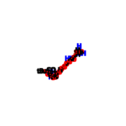 CC(C)(C)CCC(NC(=O)c1ccc(Oc2cccc(OCCOCCOCCOCCOCCOCCNC(=O)CCCC[C@@H]3SC[C@@H]4NC(=O)N[C@@H]43)c2)nc1)C(=O)O